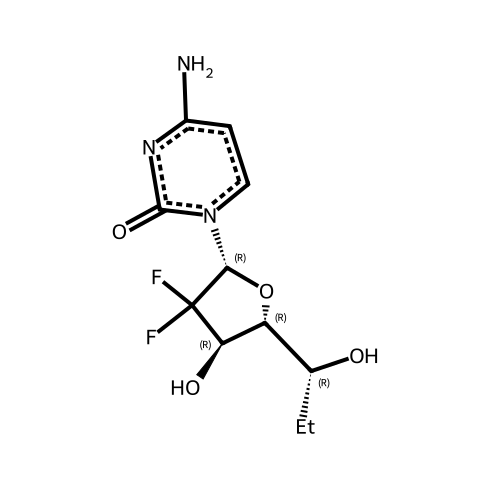 CC[C@@H](O)[C@H]1O[C@@H](n2ccc(N)nc2=O)C(F)(F)[C@@H]1O